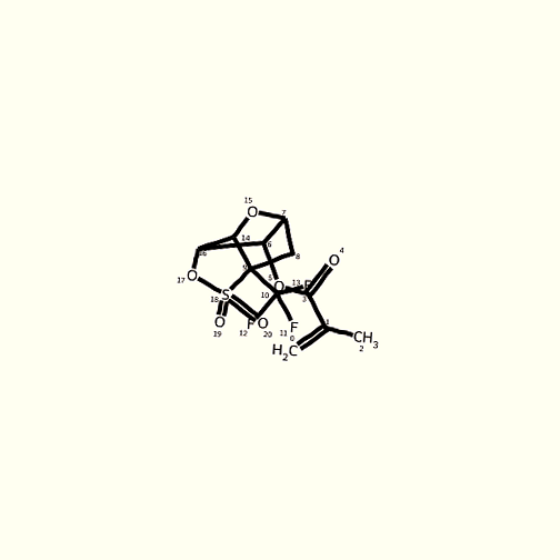 C=C(C)C(=O)OC1C2CC3(C(F)(F)F)C(O2)C1OS3(=O)=O